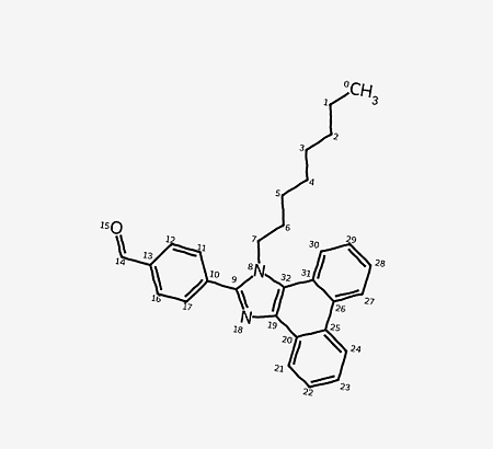 CCCCCCCCn1c(-c2ccc(C=O)cc2)nc2c3ccccc3c3ccccc3c21